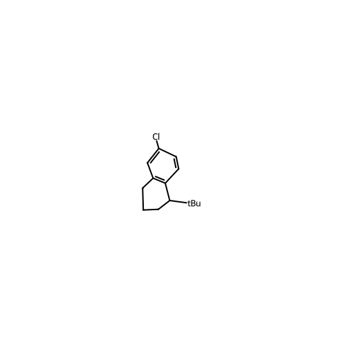 CC(C)(C)C1CCCc2cc(Cl)ccc21